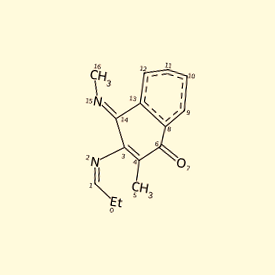 CC/C=N\C1=C(C)C(=O)c2ccccc2/C1=N\C